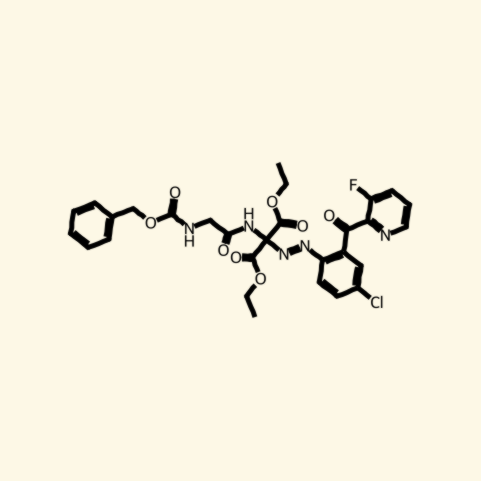 CCOC(=O)C(N=Nc1ccc(Cl)cc1C(=O)c1ncccc1F)(NC(=O)CNC(=O)OCc1ccccc1)C(=O)OCC